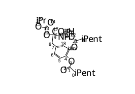 CCCC(C)C(=O)Oc1ccc(C[C@](NC(C)C)(OC(=O)OC(C)C)C(=O)O)cc1OC(=O)C(C)CCC